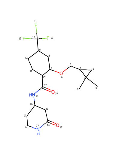 CC1(C)CC1COC1CC(C(F)(F)F)CCC1C(=O)NC1CCNC(=O)C1